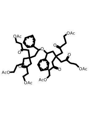 CC(=O)OCCC(=O)CC(CC(=O)CCOC(C)=O)(CC(=O)CCOC(C)=O)CC(OC(CC(CC(=O)CCOC(C)=O)(CC(=O)CCOC(C)=O)CC(=O)CCOC(C)=O)c1ccccc1)c1ccccc1